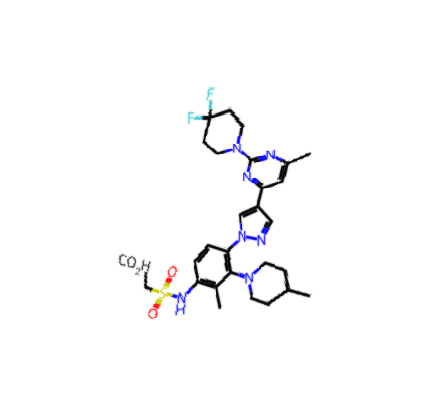 Cc1cc(-c2cnn(-c3ccc(NS(=O)(=O)CC(=O)O)c(C)c3N3CCC(C)CC3)c2)nc(N2CCC(F)(F)CC2)n1